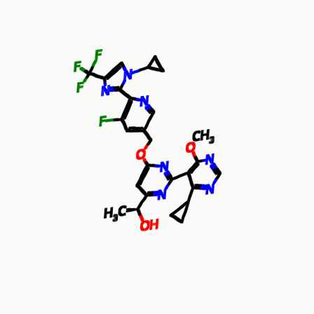 COc1ncnc(C2CC2)c1-c1nc(OCc2cnc(-c3nc(C(F)(F)F)cn3C3CC3)c(F)c2)cc([C@H](C)O)n1